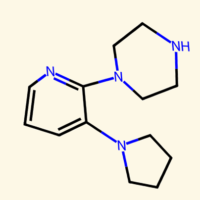 c1cnc(N2CCNCC2)c(N2CCCC2)c1